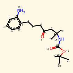 CC(C)(CC(=O)[CH]CCc1ccccc1N)NC(=O)OC(C)(C)C